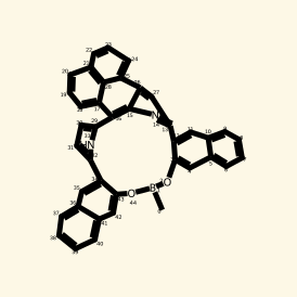 CB1Oc2cc3ccccc3cc2C2=Nc3c(c4cccc5cccc(c3=C2)c54)-c2ccc([nH]2)-c2cc3ccccc3cc2O1